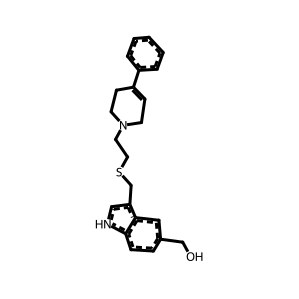 OCc1ccc2[nH]cc(CSCCN3CC=C(c4ccccc4)CC3)c2c1